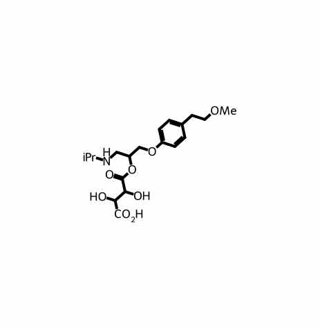 COCCc1ccc(OCC(CNC(C)C)OC(=O)C(O)C(O)C(=O)O)cc1